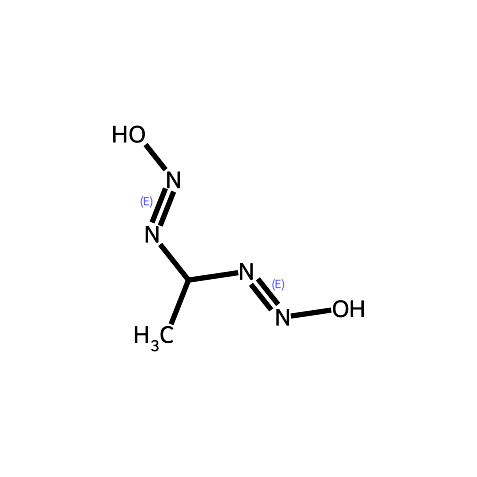 CC(/N=N/O)/N=N/O